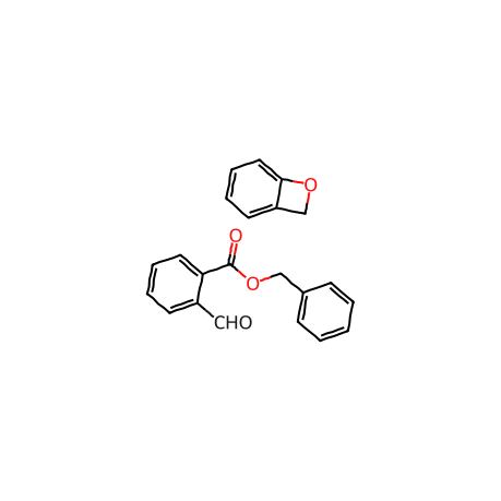 O=Cc1ccccc1C(=O)OCc1ccccc1.c1ccc2c(c1)CO2